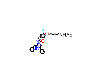 CC(=O)NCCCCCCOc1ccc(Cc2nc3c(Cc4ccccc4)[nH]c(-c4ccccc4)cn-3c2=O)cc1F